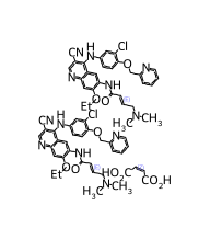 CCOc1cc2ncc(C#N)c(Nc3ccc(OCc4ccccn4)c(Cl)c3)c2cc1NC(=O)/C=C/CN(C)C.CCOc1cc2ncc(C#N)c(Nc3ccc(OCc4ccccn4)c(Cl)c3)c2cc1NC(=O)/C=C/CN(C)C.O=C(O)/C=C\C(=O)O